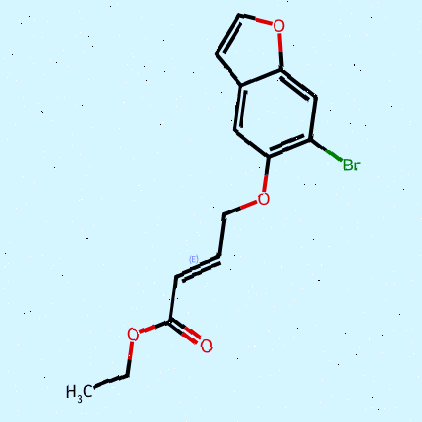 CCOC(=O)/C=C/COc1cc2ccoc2cc1Br